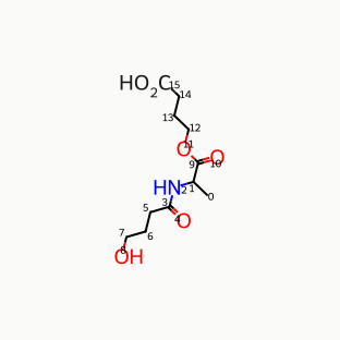 CC(NC(=O)CCCO)C(=O)OCCCC(=O)O